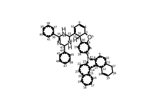 C1=CC2Oc3cc(-n4c5ccc6c(c5c5c7ccccc7ccc54)C=CCC6)ccc3[C@@H]2C(C2NC(c3ccccc3)=NC(c3ccccc3)N2)=C1